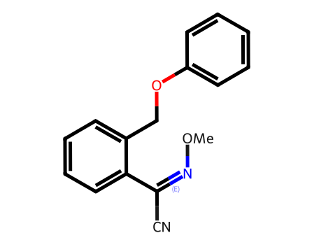 CO/N=C(/C#N)c1ccccc1COc1ccccc1